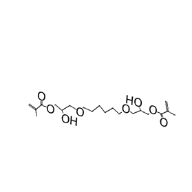 C=C(C)C(=O)OCC(O)COCCCCCCOCC(O)COC(=O)C(=C)C